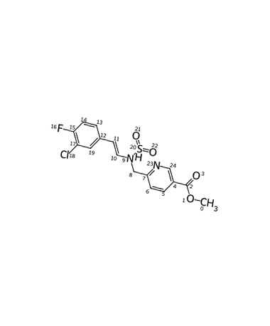 COC(=O)c1ccc(CN(C=Cc2ccc(F)c(Cl)c2)[SH](=O)=O)nc1